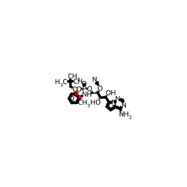 C[C@H](NP(=O)(OC[C@@H](OC#N)[C@@H](O)[C@@H](O)c1ccc2c(N)ncnn12)Oc1ccccc1)C(=O)OCC(C)(C)C